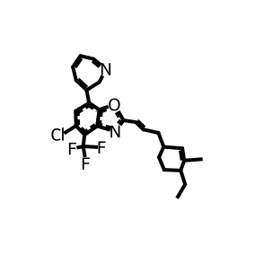 CCC1CCC(C/C=C/c2nc3c(C(F)(F)F)c(Cl)cc(C4=CC=CC=NC4)c3o2)C=C1C